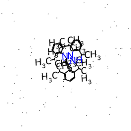 CC(C)c1cccc(C(C)C)c1C1=CN(c2c(C(C)C)cccc2C(C)C)N(c2c(C(C)C)cccc2C(C)C)N1